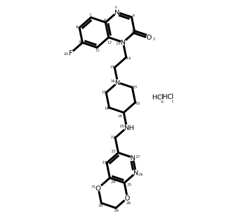 Cl.Cl.O=c1cnc2ccc(F)cc2n1CCN1CCC(NCc2cc3c(nn2)OCCO3)CC1